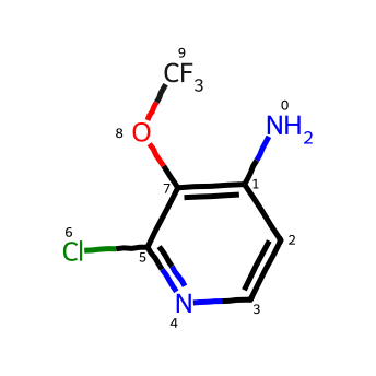 Nc1ccnc(Cl)c1OC(F)(F)F